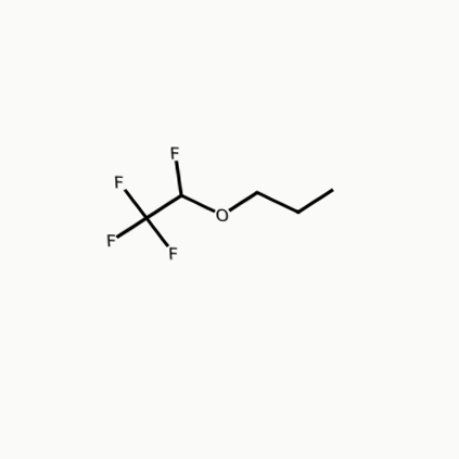 CCCOC(F)C(F)(F)F